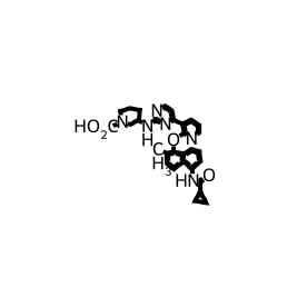 Cc1ccc2c(NC(=O)C3CC3)cccc2c1Oc1ncccc1-c1ccnc(NC2CCCN(C(=O)O)C2)n1